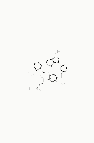 COc1cc(N(C)CCN(C)C)c(NC(=O)c2ccccc2OC)cc1Nc1nccc(-c2cn(C)c3ccccc23)n1